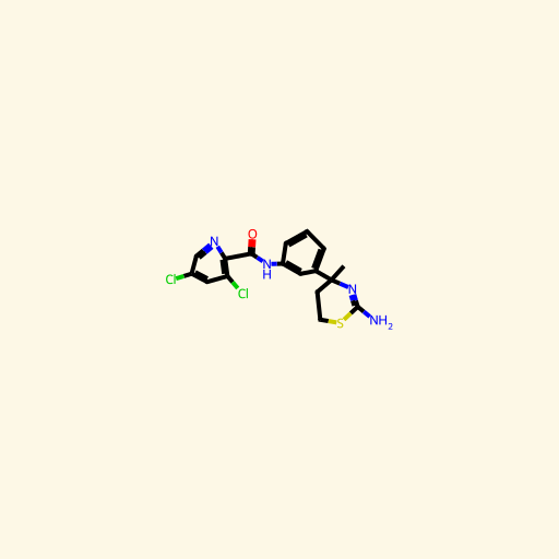 CC1(c2cccc(NC(=O)c3ncc(Cl)cc3Cl)c2)CCSC(N)=N1